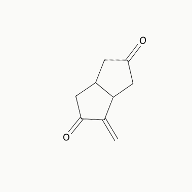 C=C1C(=O)CC2CC(=O)CC12